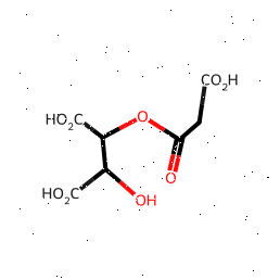 O=C(O)CC(=O)OC(C(=O)O)C(O)C(=O)O